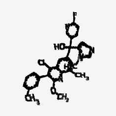 COc1nc2c(C)cc(C(O)(c3ccc(F)nc3)c3cncn3C)cc2c(Cl)c1-c1cccc(C)c1